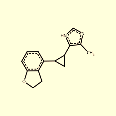 Cc1nc[nH]c1C1CC1c1cccc2c1CCO2